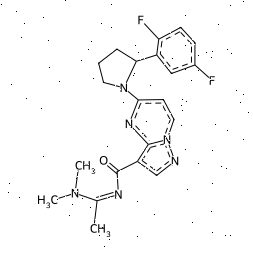 CC(=NC(=O)c1cnn2ccc(N3CCCC3c3cc(F)ccc3F)nc12)N(C)C